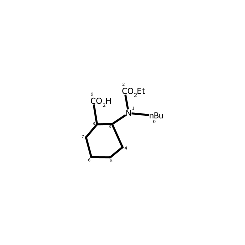 CCCCN(C(=O)OCC)C1CCCCC1C(=O)O